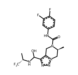 C[C@H](NC(O)c1nnn2c1CN(C(=O)Nc1ccc(F)c(F)c1)[C@@H](C)C2)C(F)(F)F